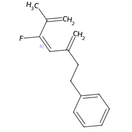 C=C(/C=C(/F)C(=C)C)CCc1ccccc1